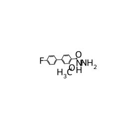 COc1cc(-c2ccc(F)cc2)ccc1C(=O)NN